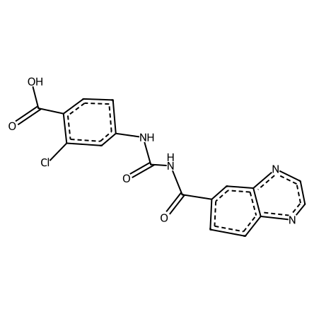 O=C(NC(=O)c1ccc2nccnc2c1)Nc1ccc(C(=O)O)c(Cl)c1